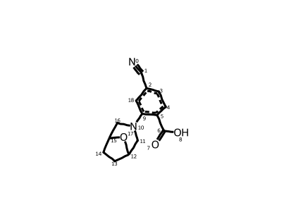 N#Cc1ccc(C(=O)O)c(N2CC3CCC(C2)O3)c1